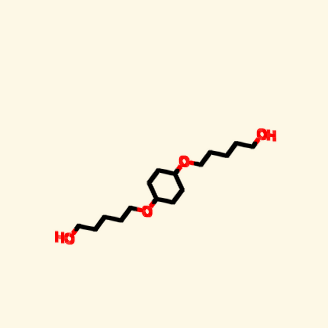 OCCCCCOC1CCC(OCCCCCO)CC1